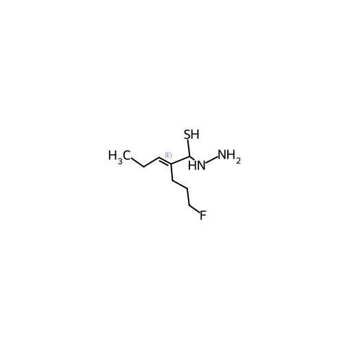 CC/C=C(\CCCF)C(S)NN